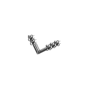 [Li+].[Li+].[Li+].[Li+].[Li+].[Li+].[Li+].[Li+].[Li+].[Li+].[Li+].[Li+].[Li+].[Li+].[Li+].[O-][Si]([O-])([O-])F.[O-][Si]([O-])([O-])F.[O-][Si]([O-])([O-])F.[O-][Si]([O-])([O-])F.[O-][Si]([O-])([O-])F